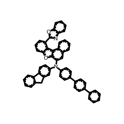 c1ccc(-c2ccc(-c3ccc(N(c4ccc5c(c4)Cc4ccccc4-5)c4cc5ccccc5c5c4oc4cccc(-c6nc7ccccc7o6)c45)cc3)cc2)cc1